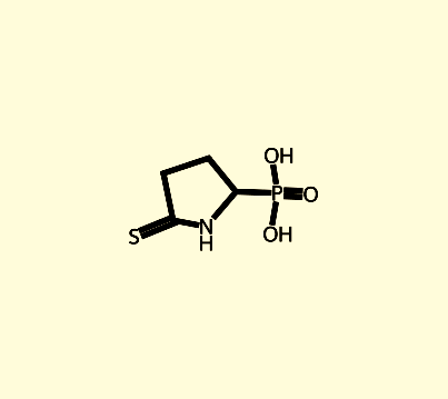 O=P(O)(O)C1CCC(=S)N1